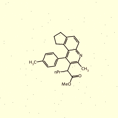 CCCC(C(=O)OC)c1c(C)nc2ccc3c(c2c1-c1ccc(C)cc1)CCC3